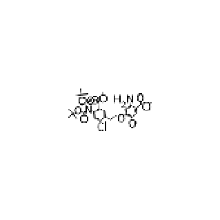 COC(=O)c1cc(OC)c(OCCc2cc(C(=O)OC)c(N(C(=O)OC(C)(C)C)C(=O)OC(C)(C)C)cc2Cl)cc1N